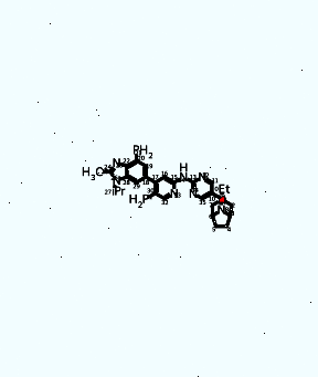 CCN1CC2CCC(C1)N2Cc1cnc(Nc2cc(-c3cc(P)c4nc(C)n(C(C)C)c4c3)c(P)cn2)nc1